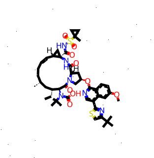 CC[C@@H]1C[C@H](C)CCC=C[C@@H]2C[C@@]2(C(=O)NS(=O)(=O)C2(C)CC2)NC(=O)[C@@H]2C[C@@H](Oc3ncc(-c4nc(C(C)(C)C)cs4)c4cc(OC)ccc34)CN2C(=O)[C@H]1N(C(=O)O)C(C)(C)C